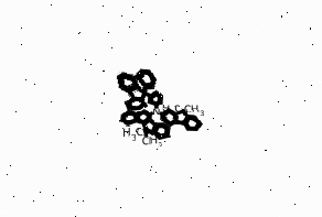 CC1(C)c2ccccc2-c2ccc(N(c3cccc(C4(c5ccccc5)c5ccccc5-c5ccccc54)c3)c3cc4ccccc4c4c3-c3ccccc3C4(C)C)cc21